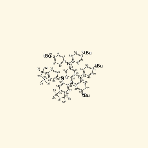 CC(C)(C)c1ccc(N(c2ccc(C(C)(C)C)cc2)c2cc3c4c(c2)N(c2ccc5c(c2)C(C)(C)CC5(C)C)c2cc5c(cc2B4c2cc(C(C)(C)C)ccc2N3c2ccc(C(C)(C)C)cc2)C(C)(C)CC5(C)C)cc1